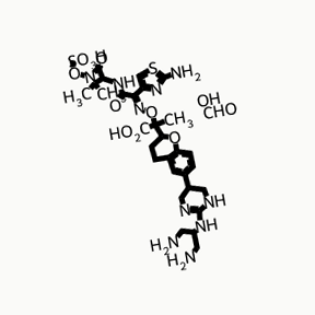 CC(ON=C(C(=O)NC1C(=O)N(OS(=O)(=O)O)C1(C)C)c1csc(N)n1)(C(=O)O)C1CCc2cc(C3CN=C(NC(CN)CN)NC3)ccc2O1.O=CO